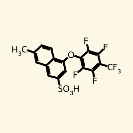 Cc1ccc2c(Oc3c(F)c(F)c(C(F)(F)F)c(F)c3F)cc(S(=O)(=O)O)cc2c1